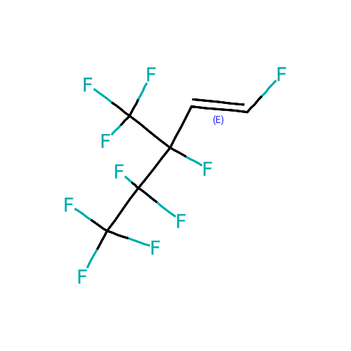 F/C=C/C(F)(C(F)(F)F)C(F)(F)C(F)(F)F